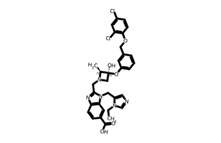 CCn1cncc1Cn1c(CN2C[C@](O)(Oc3cccc(COc4ccc(Cl)cc4Cl)c3)[C@@H]2C)nc2ccc(C(=O)O)cc21